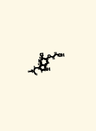 CN(C)Cc1c[nH]c2cc(OCCO)c(Cl)nc12